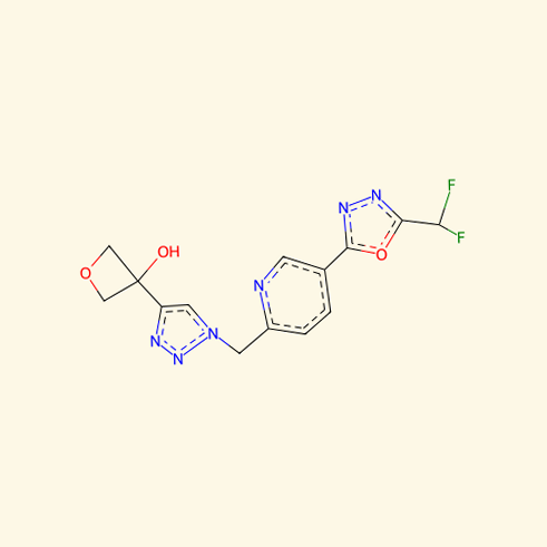 OC1(c2cn(Cc3ccc(-c4nnc(C(F)F)o4)cn3)nn2)COC1